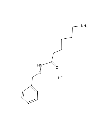 Cl.NCCCCCC(=O)NOCc1ccccc1